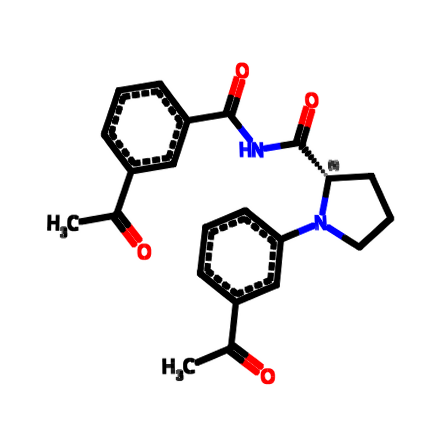 CC(=O)c1cccc(C(=O)NC(=O)[C@@H]2CCCN2c2cccc(C(C)=O)c2)c1